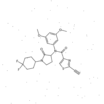 C#Cc1nc(C(=O)N(c2cc(OC)cc(OC)c2)C2CCN(C3CCC(F)(F)CC3)C2=O)cs1